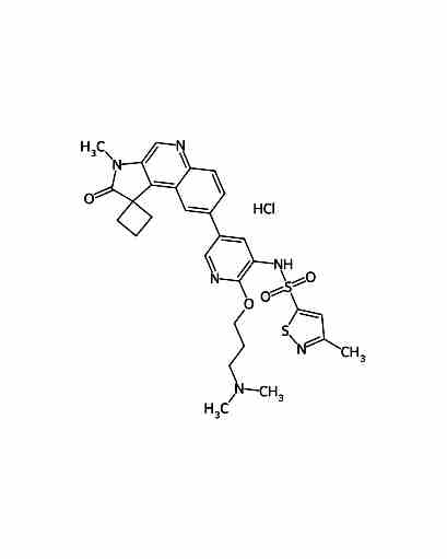 Cc1cc(S(=O)(=O)Nc2cc(-c3ccc4ncc5c(c4c3)C3(CCC3)C(=O)N5C)cnc2OCCCN(C)C)sn1.Cl